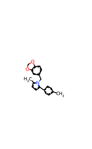 Cc1ccc(-c2ccc(C)n2Cc2ccc3c(c2)OCO3)cc1